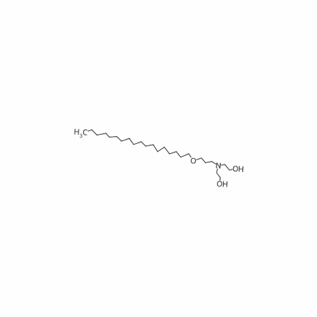 CCCCCCCCCCCCCCCCCCOCCCN(CCO)CCO